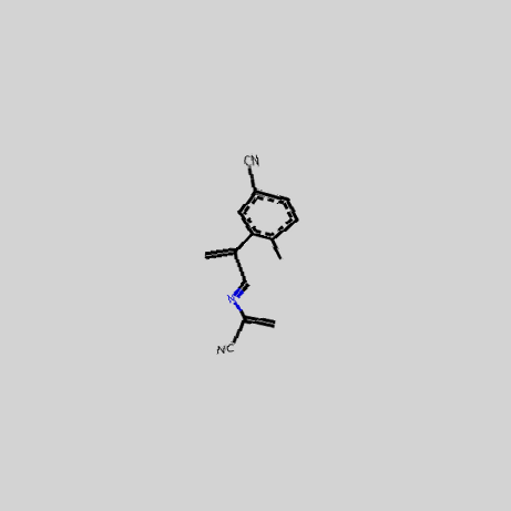 C=C(C#N)/N=C/C(=C)c1cc(C#N)ccc1C